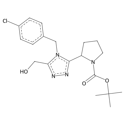 CC(C)(C)OC(=O)N1CCCC1c1nnc(CO)n1Cc1ccc(Cl)cc1